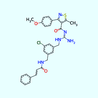 COc1ccc(-c2nsc(C)c2C(=O)N=C(N)NCc2cc(Cl)cc(CNC(=O)C=Cc3ccccc3)c2)cc1